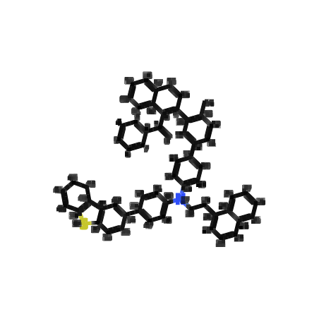 C=C(c1ccccc1)c1c(-c2cc(-c3ccc(N(CCc4cccc5ccccc45)c4ccc(-c5ccc6sc7c(c6c5)CCC=C7)cc4)cc3)ccc2C)ccc2ccccc12